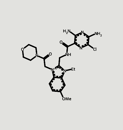 CCn1c(CNC(=O)c2nc(Cl)c(N)nc2N)[n+](CC(=O)N2CCOCC2)c2ccc(OC)cc21